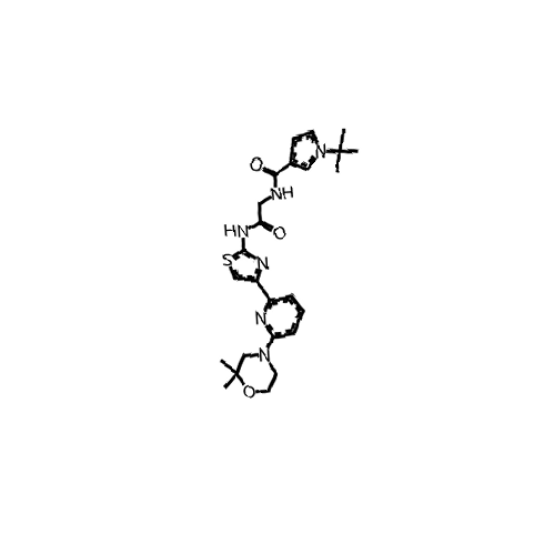 CC1(C)CN(c2cccc(-c3csc(NC(=O)CNC(=O)c4ccn(C(C)(C)C)c4)n3)n2)CCO1